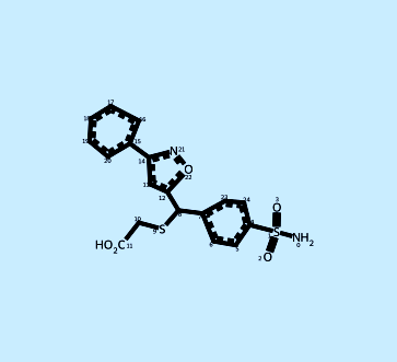 NS(=O)(=O)c1ccc(C(SCC(=O)O)c2cc(-c3ccccc3)no2)cc1